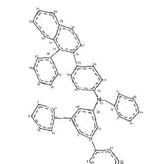 c1ccc(-c2cc(-c3ccccc3)cc(N(c3ccccc3)c3ccc(-c4ccc5ccccc5c4-c4ccccc4)cc3)c2)cc1